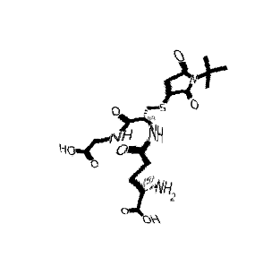 CC(C)(C)N1C(=O)CC(SC[C@H](NC(=O)CC[C@H](N)C(=O)O)C(=O)NCC(=O)O)C1=O